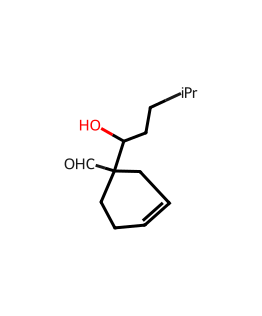 CC(C)CCC(O)C1(C=O)CC=CCC1